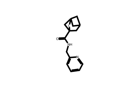 O=C(NCc1ccccn1)C12CC3CC(C3)(C1)C2